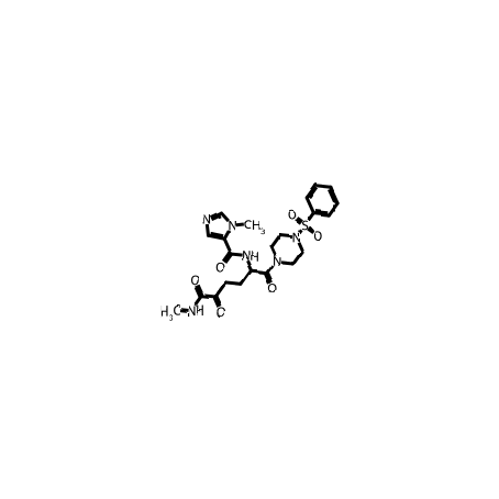 CNC(=O)C(=O)CCC(NC(=O)c1cncn1C)C(=O)N1CCN(S(=O)(=O)c2ccccc2)CC1